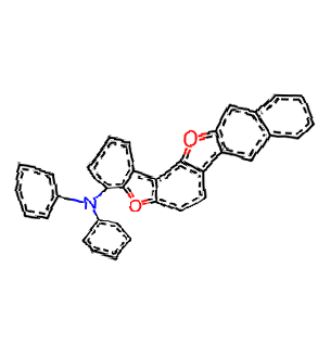 c1ccc(N(c2ccccc2)c2cccc3c2oc2ccc4c5cc6ccccc6cc5oc4c23)cc1